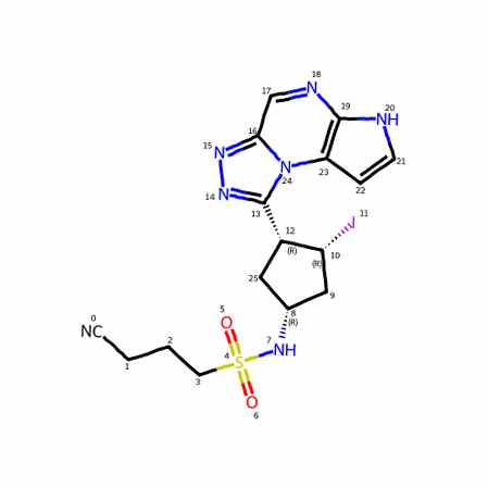 N#CCCCS(=O)(=O)N[C@H]1C[C@@H](I)[C@@H](c2nnc3cnc4[nH]ccc4n23)C1